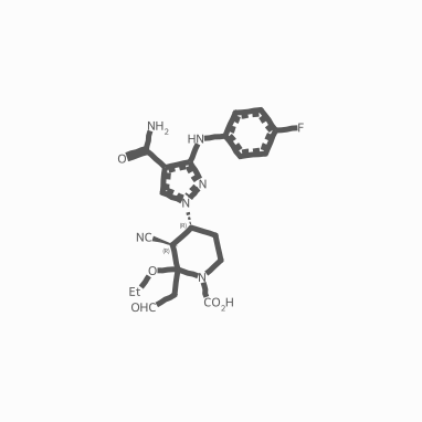 CCOC1(CC=O)[C@@H](C#N)[C@H](n2cc(C(N)=O)c(Nc3ccc(F)cc3)n2)CCN1C(=O)O